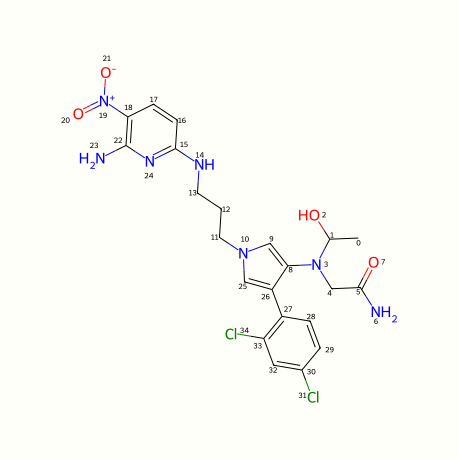 CC(O)N(CC(N)=O)c1cn(CCCNc2ccc([N+](=O)[O-])c(N)n2)cc1-c1ccc(Cl)cc1Cl